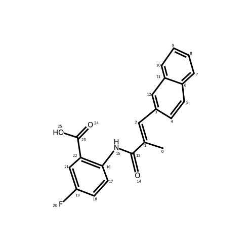 C/C(=C\c1ccc2ccccc2c1)C(=O)Nc1ccc(F)cc1C(=O)O